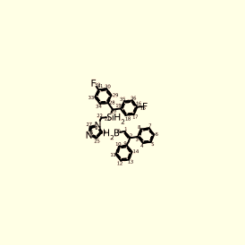 BC=C(c1ccccc1)c1ccccc1.Fc1ccc(C([SiH2]Cn2ccnc2)c2ccc(F)cc2)cc1